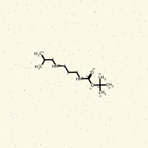 CC(C)CNCCCNC(=O)OC(C)(C)C